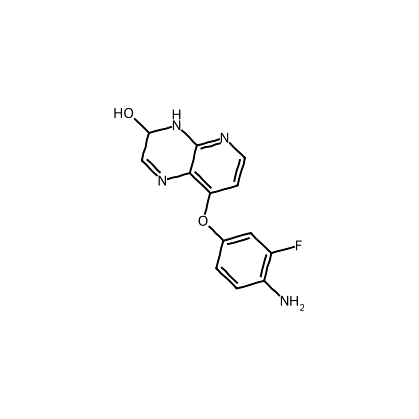 Nc1ccc(Oc2ccnc3c2N=CC(O)N3)cc1F